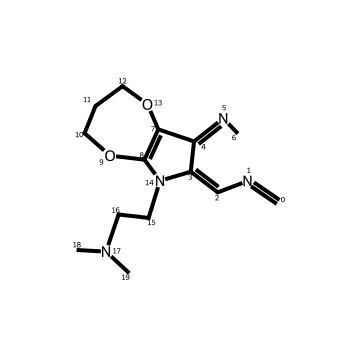 C=N/C=C1\C(=N/C)C2=C(OCCCO2)N1CCN(C)C